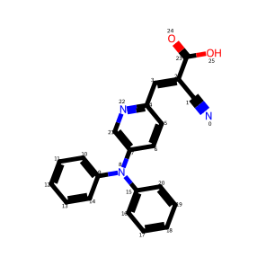 N#C/C(=C\c1ccc(N(c2ccccc2)c2ccccc2)cn1)C(=O)O